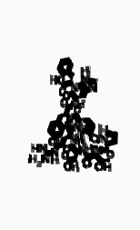 C[C@@H](O)[C@H](NC(=O)[C@@H]1CCCN1)C(=O)N[C@@H](CC(=O)O)C(=O)N[C@@H](CCCNC(=N)N)C(=O)N[C@@H](CCC(N)=O)C(=O)N[C@@H](Cc1ccc(O)cc1)C(=O)N[C@@H](Cc1c[nH]cn1)C(=O)N[C@@H](Cc1ccccc1)C(=O)O